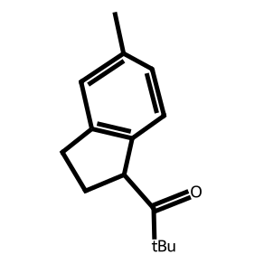 Cc1ccc2c(c1)CCC2C(=O)C(C)(C)C